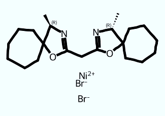 C[C@H]1N=C(CC2=N[C@H](C)C3(CCCCCC3)O2)OC12CCCCCC2.[Br-].[Br-].[Ni+2]